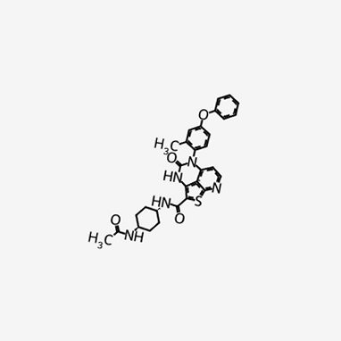 CC(=O)N[C@H]1CC[C@H](NC(=O)c2sc3nccc4c3c2NC(=O)N4c2ccc(Oc3ccccc3)cc2C)CC1